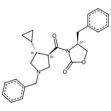 O=C1OC[C@H](Cc2ccccc2)N1C(=O)[C@H]1CN(Cc2ccccc2)C[C@@H]1C1CC1